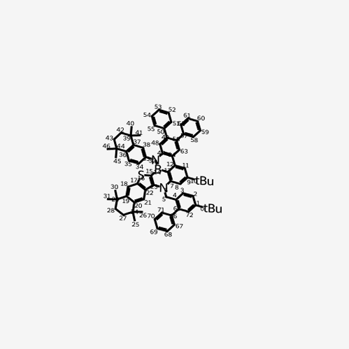 CC(C)(C)c1ccc(CN2c3cc(C(C)(C)C)cc4c3B(c3sc5cc6c(cc5c32)C(C)(C)CCC6(C)C)N(c2ccc3c(c2)C(C)(C)CCC3(C)C)c2cc(-c3ccccc3)c(-c3ccccc3)cc2-4)c(-c2ccccc2)c1